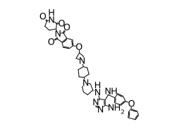 N=C(c1ccc(Oc2ccccc2)cc1)c1c(N)ncnc1N[C@@H]1CCCN(C2CCC(N3CC(Oc4ccc5c(c4)C(=O)N(C4CCC(=O)NC4=O)C5=O)C3)CC2)C1